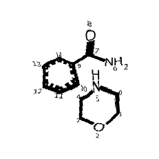 C1COCCN1.NC(=O)c1ccccc1